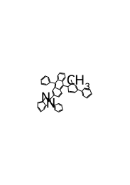 CC1C=C(c2ccccc2)C=CC1c1c2ccccc2c(-c2ccccc2)c2cc(-c3nc4ccccc4n3-c3ccccc3)ccc12